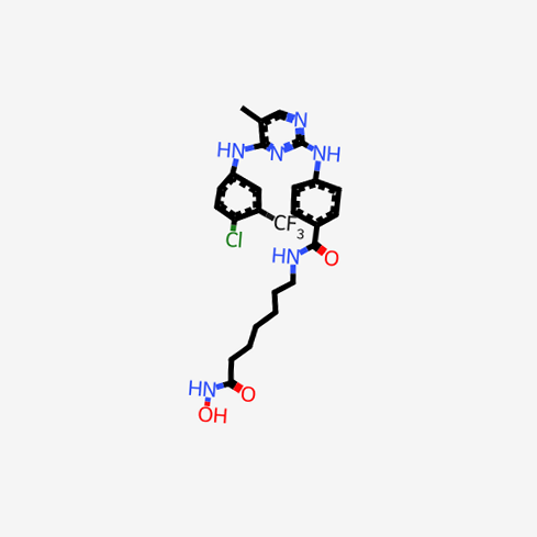 Cc1cnc(Nc2ccc(C(=O)NCCCCCCC(=O)NO)cc2)nc1Nc1ccc(Cl)c(C(F)(F)F)c1